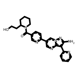 Nc1nn2cc(-c3ccc(C(=O)N4CCCCC4CCO)cn3)cnc2c1-c1ccccn1